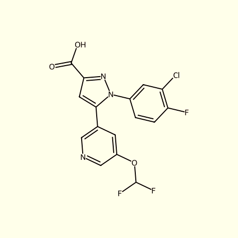 O=C(O)c1cc(-c2cncc(OC(F)F)c2)n(-c2ccc(F)c(Cl)c2)n1